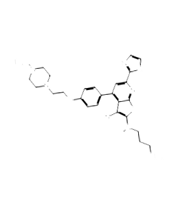 CCCC[S+]([O-])c1sc2nc(-c3nccs3)cc(-c3ccc(OCCN4CCN(C)CC4)cc3)c2c1N